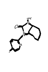 CC(C)N1C(=O)N(c2ccc(I)cn2)C2CCCCC21